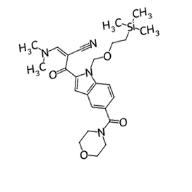 CN(C)/C=C(/C#N)C(=O)c1cc2cc(C(=O)N3CCOCC3)ccc2n1COCC[Si](C)(C)C